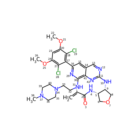 C=CC(=O)N[C@H]1COC[C@H]1Nc1ncc2cc(-c3c(Cl)c(OC)cc(OC)c3Cl)nc(NCCN3CCN(C)CC3)c2n1